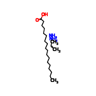 C=CC.CCCCCCCCCCCCCCCCCC(=O)O.N.N